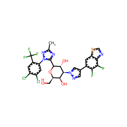 Cc1nc(C2O[C@H](CO)[C@H](O)[C@H](n3cc(-c4cc5scnc5c(F)c4F)cn3)[C@H]2O)n(-c2cc(Cl)c(Cl)cc2C(F)(F)F)n1